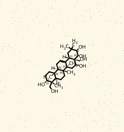 CC1(C)C[C@H]2C3=CC[C@@H]4[C@@]5(C)CC[C@H](O)[C@@](C)(CO)[C@@H]5CC[C@@]4(C)[C@]3(C)C[C@H](O)[C@@]2(CO)[C@@H](O)[C@@H]1O